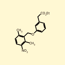 CCOC(=O)Cc1cccc(OCc2c(C)ccc([N+](=O)[O-])c2C)c1